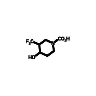 O=C(O)N1CCC(O)C(C(F)(F)F)C1